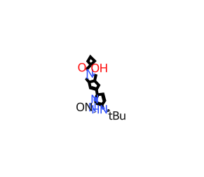 CN(N=O)c1nc(C2=CC3CN(C(=O)C4(O)CCC4)CC3C2)ccc1NCC(C)(C)C